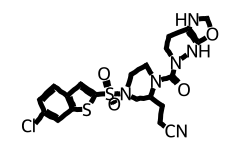 N#CCCC1CN(S(=O)(=O)c2cc3ccc(Cl)cc3s2)CCN1C(=O)N1CCC2=C(N1)OCN2